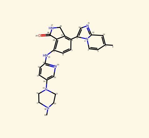 Cc1ccn2c(-c3ccc(Nc4ccc(N5CCN(C)CC5)cn4)c4c3CNC4=O)cnc2c1